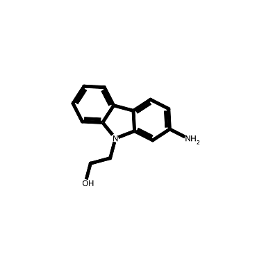 Nc1ccc2c3ccccc3n(CCO)c2c1